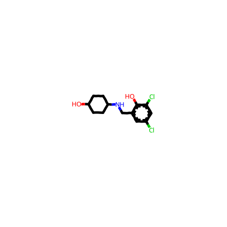 Oc1c(Cl)cc(Cl)cc1CNC1CCC(O)CC1